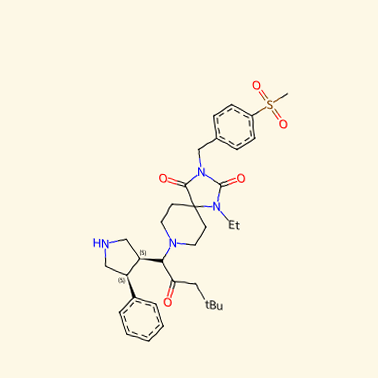 CCN1C(=O)N(Cc2ccc(S(C)(=O)=O)cc2)C(=O)C12CCN(C(C(=O)CC(C)(C)C)[C@@H]1CNC[C@@H]1c1ccccc1)CC2